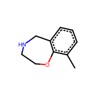 Cc1cccc2c1OCCNC2